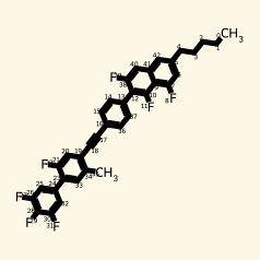 CCCCCc1cc(F)c2c(F)c(-c3ccc(C#Cc4cc(F)c(-c5cc(F)c(F)c(F)c5)cc4C)cc3)c(F)cc2c1